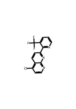 FC(F)(F)c1cccnc1-c1ccc2c(Cl)ccnc2n1